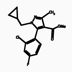 COC(=O)c1c(C)nn(CC2CC2)c1-c1ccc(F)cc1Cl